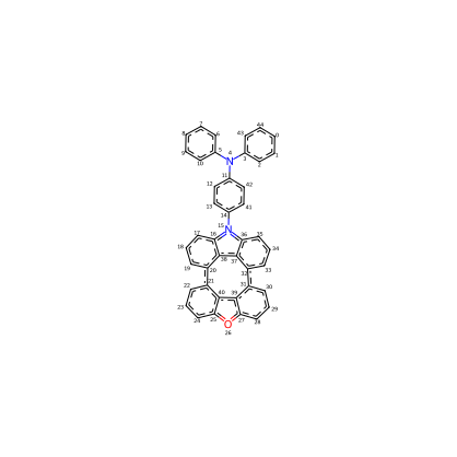 c1ccc(N(c2ccccc2)c2ccc(-n3c4cccc5c6cccc7oc8cccc(c9cccc3c9c54)c8c76)cc2)cc1